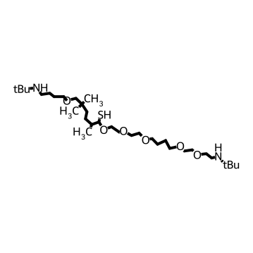 CC(CCC(C)(C)COCCCCNC(C)(C)C)C(S)OCCOCCOCCCCOCCOCCNC(C)(C)C